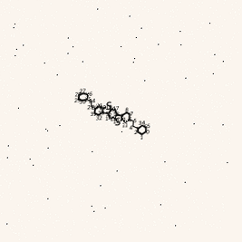 c1ccc(CCc2ccc3c(c2)sc2cc4c(cc23)sc2cc(CCc3ccccc3)ccc24)cc1